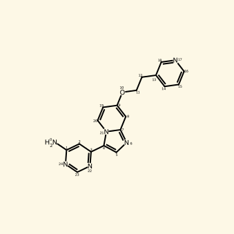 Nc1cc(-c2cnc3cc(OCCc4cccnc4)ccn23)ncn1